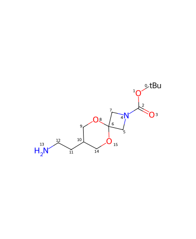 CC(C)(C)OC(=O)N1CC2(C1)OCC(CCN)CO2